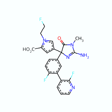 CN1C(=O)C(c2ccc(F)c(-c3cccnc3F)c2)(c2cc(C(=O)O)n(CCF)c2)N=C1N